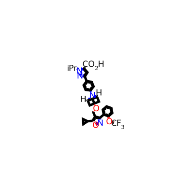 CC(C)n1nc(-c2ccc(N3[C@@H]4C[C@]5(OCc6c(-c7ccccc7OC(F)(F)F)noc6C6CC6)C[C@H]3C45)cc2)cc1C(=O)O